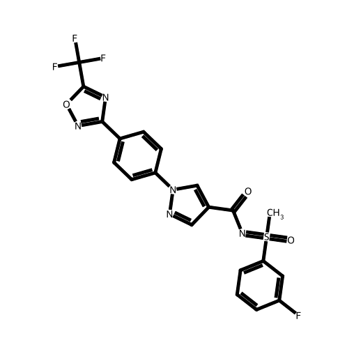 CS(=O)(=NC(=O)c1cnn(-c2ccc(-c3noc(C(F)(F)F)n3)cc2)c1)c1cccc(F)c1